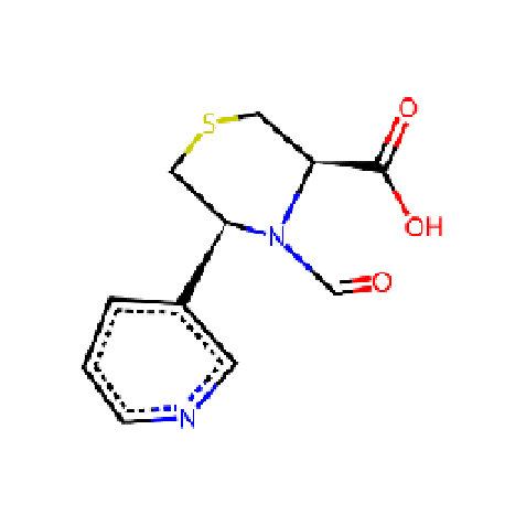 O=CN1[C@@H](c2cccnc2)CSC[C@H]1C(=O)O